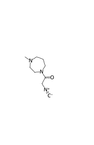 [C-]#[N+]CC(=O)N1CCCN(C)CC1